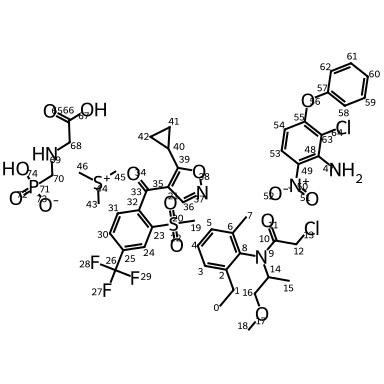 CCc1cccc(C)c1N(C(=O)CCl)C(C)COC.CS(=O)(=O)c1cc(C(F)(F)F)ccc1C(=O)c1cnoc1C1CC1.C[S+](C)C.Nc1c([N+](=O)[O-])ccc(Oc2ccccc2)c1Cl.O=C(O)CNCP(=O)([O-])O